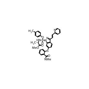 CNC(=O)c1ccccc1Sc1ccc2c(/C=C/c3ccccn3)nn([P@](=O)(N[C@@H](C)C(=O)OC)Oc3ccc(C)cc3)c2c1